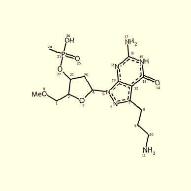 COCC1OC(n2nc(CCCN)c3c(=O)[nH]c(N)nc32)CC1OP(C)(=O)O